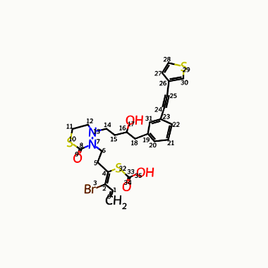 C=C/C(Br)=C(/CCN1C(=O)SCCN1CCC(O)Cc1cccc(C#Cc2ccsc2)c1)SC(=O)O